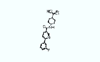 CCC(O)[C@H]1CC[C@H](NC(=O)c2ccc(-c3cccc(F)c3)nc2)CC1